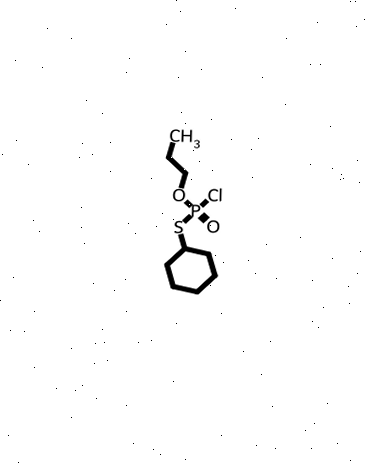 CCCOP(=O)(Cl)SC1CCCCC1